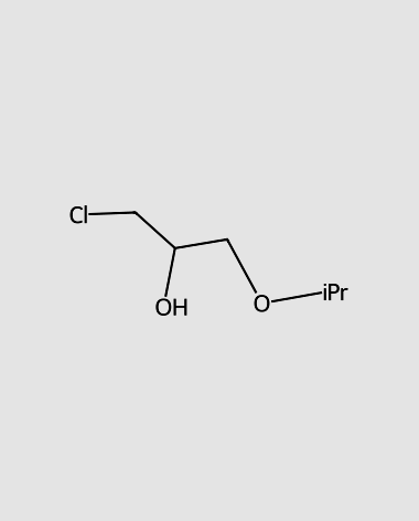 CC(C)OCC(O)CCl